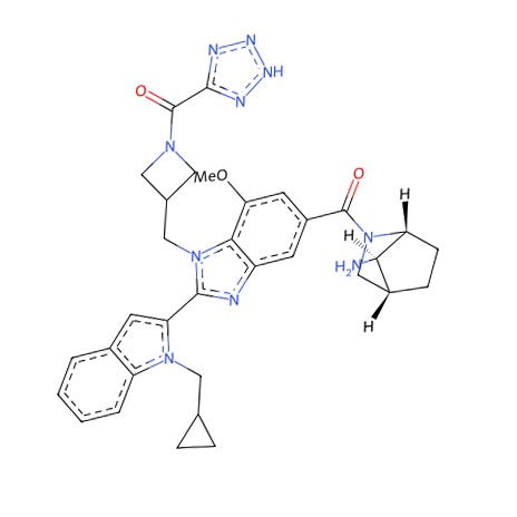 COc1cc(C(=O)N2C[C@H]3CC[C@@H]2[C@@H]3N)cc2nc(-c3cc4ccccc4n3CC3CC3)n(CC3CN(C(=O)c4nn[nH]n4)C3)c12